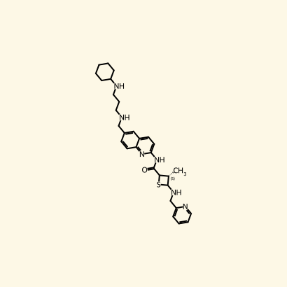 C[C@@H]1C(NCc2ccccn2)SC1C(=O)Nc1ccc2cc(CNCCCNC3CCCCC3)ccc2n1